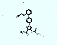 N#CCOc1ccccc1-c1ccc(-n2cc(NC(N)=O)c(C(N)=O)n2)cc1